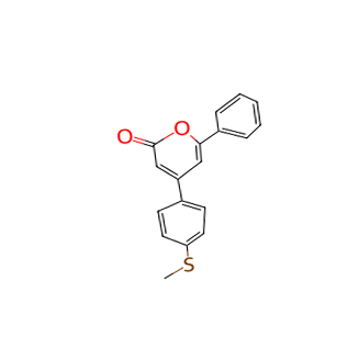 CSc1ccc(-c2cc(-c3ccccc3)oc(=O)c2)cc1